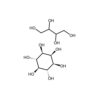 OCC(O)C(O)CO.O[C@H]1[C@H](O)[C@@H](O)[C@H](O)[C@@H](O)[C@H]1O